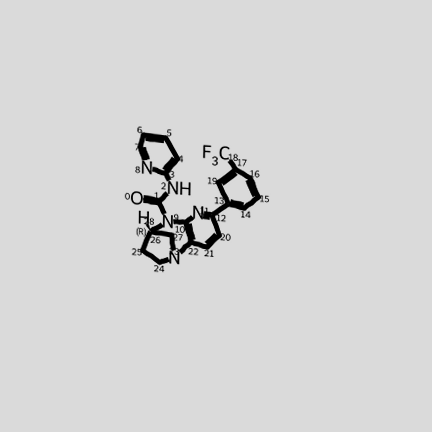 O=C(Nc1ccccn1)N1c2nc(-c3cccc(C(F)(F)F)c3)ccc2N2CC[C@@H]1C2